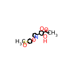 CCC(=O)C1=C(O)CC(c2cccc(Oc3ccc([S+](C)[O-])cc3)n2)CC1=O